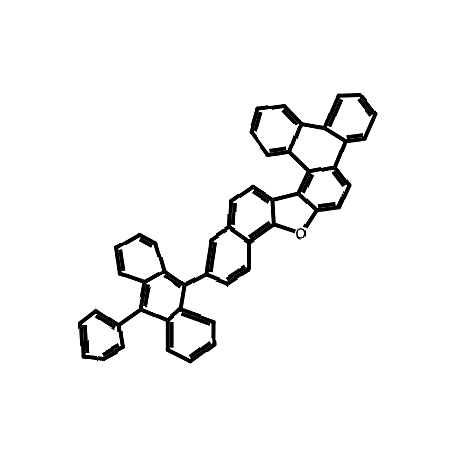 c1ccc(-c2c3ccccc3c(-c3ccc4c(ccc5c4oc4ccc6c7ccccc7c7ccccc7c6c45)c3)c3ccccc23)cc1